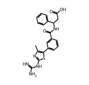 Cc1nc(NC(=N)N)sc1-c1cccc(C(=O)NC(CC(=O)O)c2ccccc2)c1